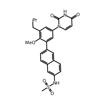 COc1c(CC(C)C)cc(-n2ccc(=O)[nH]c2=O)cc1-c1ccc2cc(NS(C)(=O)=O)ccc2c1